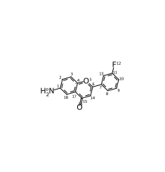 Nc1ccc2oc(-c3cccc(F)c3)cc(=O)c2c1